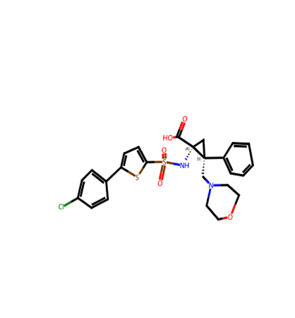 O=C(O)[C@@]1(NS(=O)(=O)c2ccc(-c3ccc(Cl)cc3)s2)C[C@@]1(CN1CCOCC1)c1ccccc1